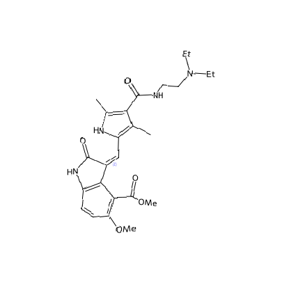 CCN(CC)CCNC(=O)c1c(C)[nH]c(/C=C2\C(=O)Nc3ccc(OC)c(C(=O)OC)c32)c1C